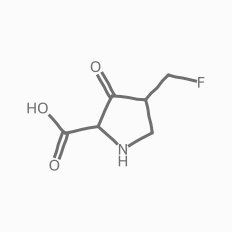 O=C(O)C1NCC(CF)C1=O